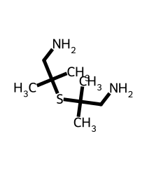 CC(C)(CN)SC(C)(C)CN